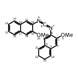 COc1cc2c(cc1N=C=Nc1cc3ccccc3cc1OC)=CCCC=2